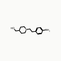 Nc1ccc(CCN2CCC(CO)CC2)cc1